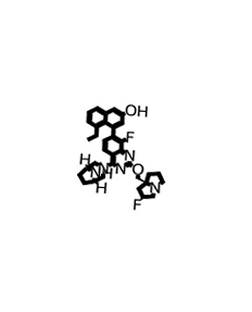 CCc1cccc2cc(O)cc(-c3ccc4c(N5C[C@H]6CC[C@@H](C5)N6)nc(OC[C@@]56CCCN5C[C@H](F)C6)nc4c3F)c12